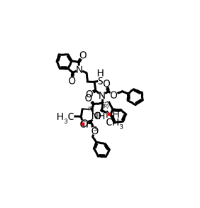 CNC(=O)[C@@](Cc1ccccc1)(C(=O)[C@H](CC(C)C)NC(=O)OCc1ccccc1)N(C(=O)OCc1ccccc1)C(=O)C(S)CCN1C(=O)c2ccccc2C1=O